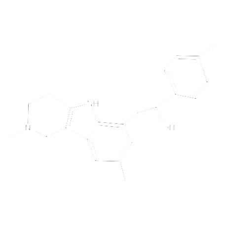 Cc1ccc(C(O)Cc2cc(C)cc3c4c([nH]c23)CCN(C)C4)cc1